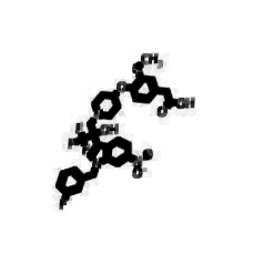 COc1cc(CC(=O)O)ccc1OC1CCN(CC(O)(c2cn(Cc3cccc(F)c3)c3cc([N+](=O)[O-])ccc23)C(F)(F)F)CC1